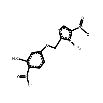 Cc1cc(OCc2ncc([N+](=O)[O-])n2C)ccc1[N+](=O)[O-]